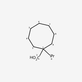 CC(C)C1(C(=O)O)CCCCCCC1